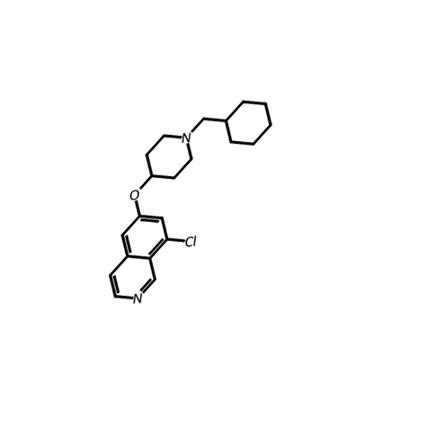 Clc1cc(OC2CCN(CC3CCCCC3)CC2)cc2ccncc12